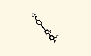 CCC=CC1CCC(C#Cc2ccc(-c3ccc(F)c(F)c3)nc2)CC1